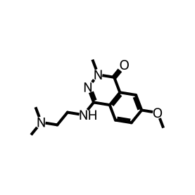 COc1ccc2c(NCCN(C)C)nn(C)c(=O)c2c1